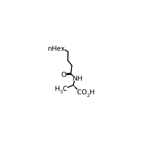 CCCCCCCCCC(=O)N[C@H](C)C(=O)O